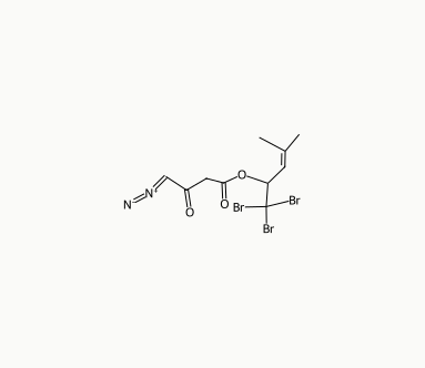 CC(C)=CC(OC(=O)CC(=O)C=[N+]=[N-])C(Br)(Br)Br